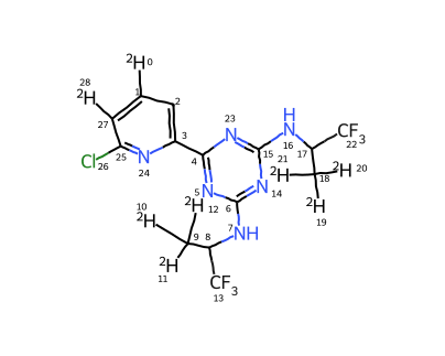 [2H]c1cc(-c2nc(NC(C([2H])([2H])[2H])C(F)(F)F)nc(NC(C([2H])([2H])[2H])C(F)(F)F)n2)nc(Cl)c1[2H]